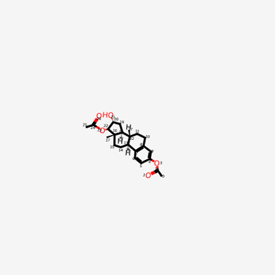 CC(=O)Oc1ccc2c(c1)CC[C@@H]1[C@@H]2CC[C@@]2(C)[C@H]1C[C@@H](O)[C@@H]2OC(C)=O